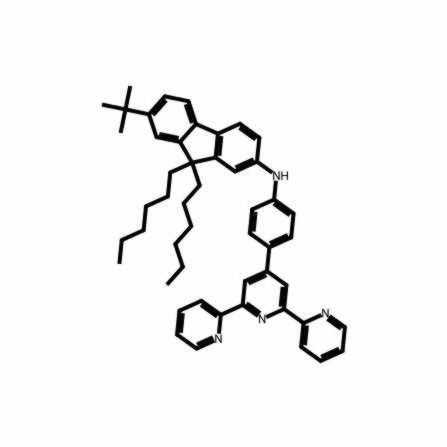 CCCCCCC1(CCCCCC)c2cc(Nc3ccc(-c4cc(-c5ccccn5)nc(-c5ccccn5)c4)cc3)ccc2-c2ccc(C(C)(C)C)cc21